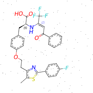 Cc1sc(-c2ccc(F)cc2)nc1CCOc1ccc(C[C@H](N/C(=C\C(=O)c2ccccc2)C(F)(F)F)C(=O)O)cc1